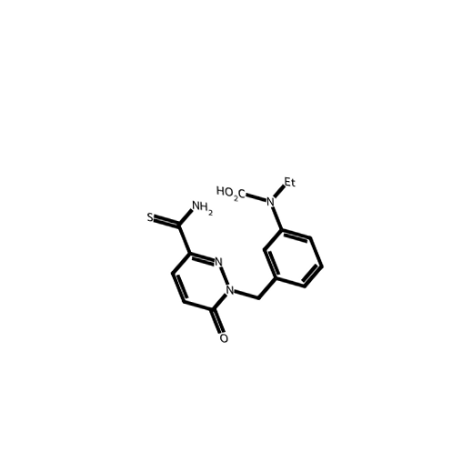 CCN(C(=O)O)c1cccc(Cn2nc(C(N)=S)ccc2=O)c1